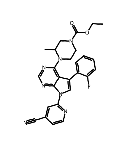 CCOC(=O)N1CCN(c2ncnc3c2c(-c2ccccc2F)cn3-c2cc(C#N)ccn2)C(C)C1